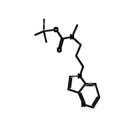 CN(CCCn1ccc2ncccc21)C(=O)OC(C)(C)C